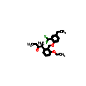 CCOc1cccc(C(C)C(=O)CC)c1COc1ccc(CC)cc1C(F)F